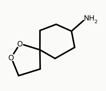 NC1CCC2(CCOO2)CC1